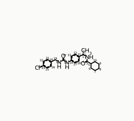 C[C@H](NC(=O)C1CCCCC1)c1ccc(NC(=O)NCc2ccc(Cl)cc2)cc1